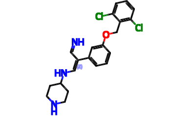 N=C/C(=C\NC1CCNCC1)c1cccc(OCc2c(Cl)cccc2Cl)c1